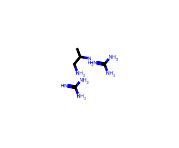 CC(N)CN.N=C(N)N.N=C(N)N